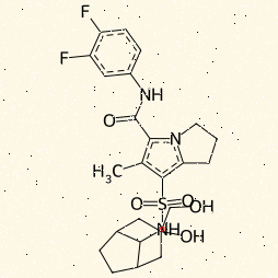 Cc1c(S(=O)(=O)NC2C3CCC2CC(O)(CO)C3)c2n(c1C(=O)Nc1ccc(F)c(F)c1)CCC2